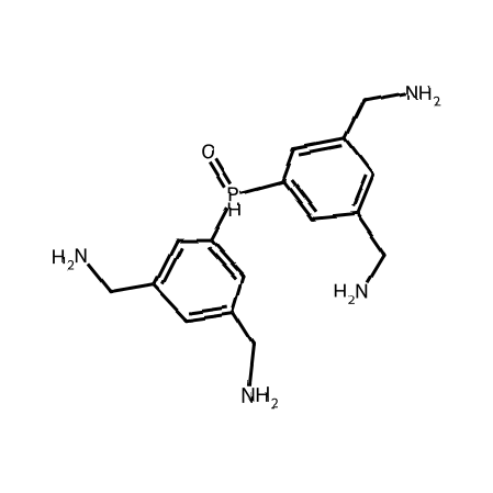 NCc1cc(CN)cc([PH](=O)c2cc(CN)cc(CN)c2)c1